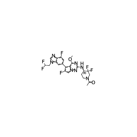 COc1nc(N[C@@H]2CCN(C(C)=O)CC2(F)F)nn2cc(F)c(-c3cc(F)c4ncn(CC(F)F)c4c3)c12